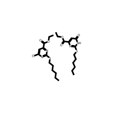 CCCCCCSc1nc(C(=O)OCC)cc(=O)[nH]1.CCCCCCSc1nc(Cl)cc(C(=O)OCC)n1